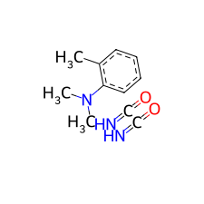 Cc1ccccc1N(C)C.N=C=O.N=C=O